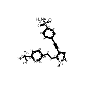 Cn1ncc(C#Cc2ccc(S(N)(=O)=O)cc2)c1CCc1ccc(C(F)(F)F)nc1